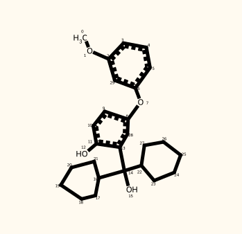 COc1cccc(Oc2ccc(O)c(C(O)(C3CCCCC3)C3CCCCC3)c2)c1